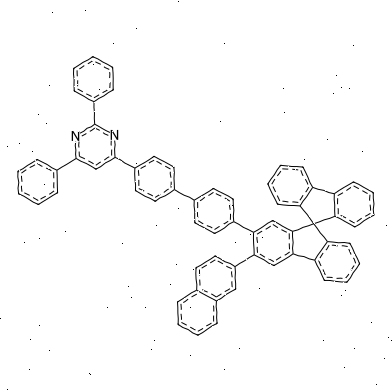 c1ccc(-c2cc(-c3ccc(-c4ccc(-c5cc6c(cc5-c5ccc7ccccc7c5)-c5ccccc5C65c6ccccc6-c6ccccc65)cc4)cc3)nc(-c3ccccc3)n2)cc1